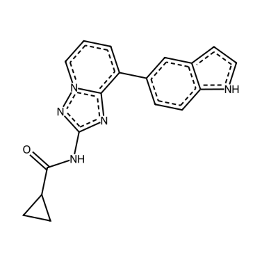 O=C(Nc1nc2c(-c3ccc4[nH]ccc4c3)cccn2n1)C1CC1